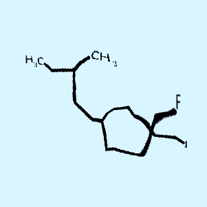 CC(C)CC1CCC(F)(I)C1